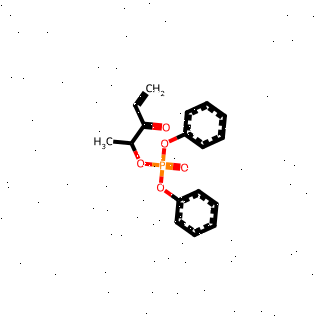 C=CC(=O)C(C)OP(=O)(Oc1ccccc1)Oc1ccccc1